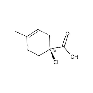 CC1=CC[C@](Cl)(C(=O)O)CC1